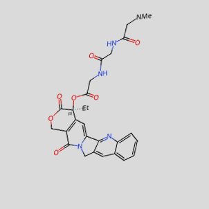 CC[C@@]1(OC(=O)CNC(=O)CNC(=O)CNC)C(=O)OCc2c1cc1n(c2=O)Cc2cc3ccccc3nc2-1